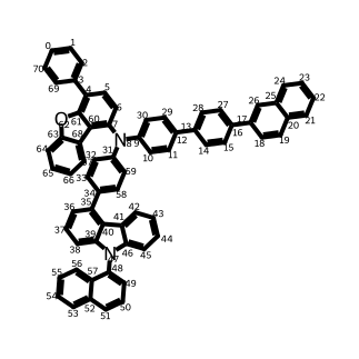 c1ccc(-c2ccc(N(c3ccc(-c4ccc(-c5ccc6ccccc6c5)cc4)cc3)c3ccc(-c4cccc5c4c4ccccc4n5-c4cccc5ccccc45)cc3)c3c2oc2ccccc23)cc1